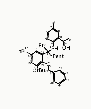 CCCCCC(CC)(Pc1ccc(C)cc1C(C)O)c1cc(C(C)(C)C)cc(C(C)(C)C)c1OCc1ccccc1